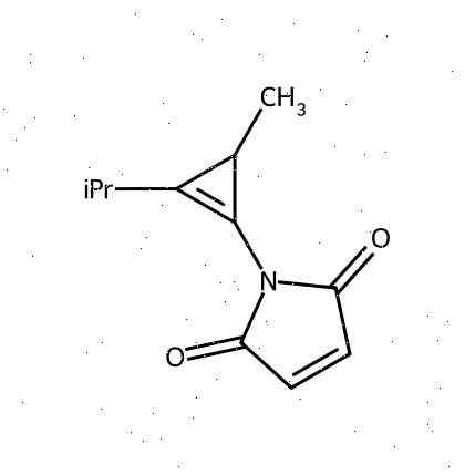 CC(C)C1=C(N2C(=O)C=CC2=O)C1C